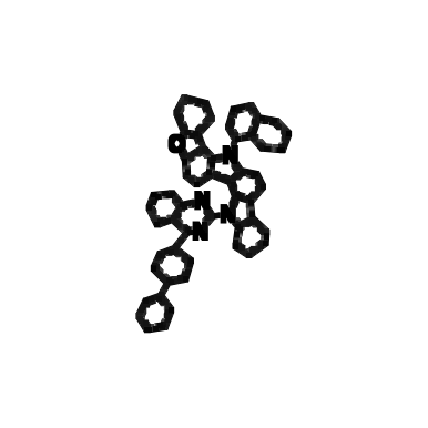 c1ccc(-c2ccc(-c3nc(-n4c5ccccc5c5ccc6c(c7ccc8oc9ccccc9c8c7n6-c6cccc7ccccc67)c54)nc4ccccc34)cc2)cc1